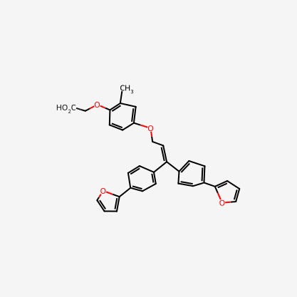 Cc1cc(OCC=C(c2ccc(-c3ccco3)cc2)c2ccc(-c3ccco3)cc2)ccc1OCC(=O)O